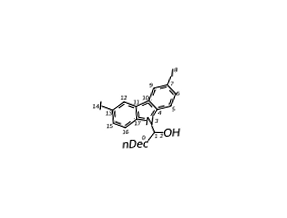 CCCCCCCCCCC(O)n1c2ccc(I)cc2c2cc(I)ccc21